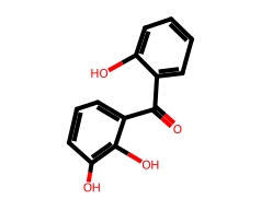 O=C(c1ccccc1O)c1cccc(O)c1O